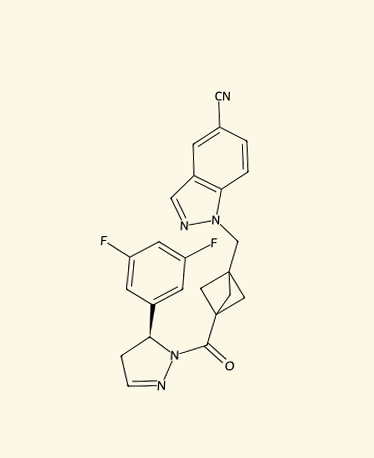 N#Cc1ccc2c(cnn2CC23CC(C(=O)N4N=CC[C@H]4c4cc(F)cc(F)c4)(C2)C3)c1